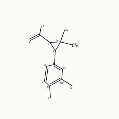 C=C(C)C1C(c2ccc(C)c(C)c2)C1(C)Cl